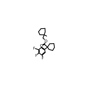 CC1(COC(=O)C2(c3cc(F)c(F)c(F)c3)CCCCC2)CCCCC1